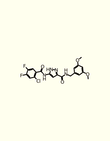 COc1cc(CNC(=O)c2cc(NC(=O)c3cc(F)c(F)cc3Cl)[nH]n2)cc(OC)c1